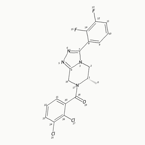 C[C@H]1Cn2c(nnc2-c2cccc(F)c2F)CN1C(=O)c1cccc(Cl)c1Cl